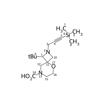 CC(C)(C)C1N(CC#C[Si](C)(C)C)CC12CN(C(=O)O)CCO2